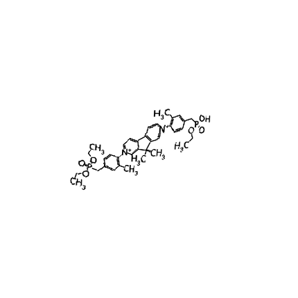 CCOP(=O)(O)Cc1ccc(-[n+]2ccc3c(c2)C(C)(C)c2c[n+](-c4ccc(CP(=O)(OCC)OCC)cc4C)ccc2-3)c(C)c1